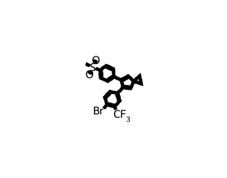 CS(=O)(=O)c1ccc(C2=CC3(C=C2c2ccc(Br)c(C(F)(F)F)c2)CC3)cc1